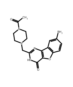 Bc1ccc2oc3c(=O)[nH]c(CN4CCN(C(C)=O)CC4)nc3c2c1